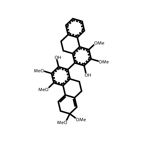 COc1c(O)c(-c2c(O)c(OC)c(OC)c3c2CCc2ccccc2-3)c2c(c1OC)C1=CCC(OC)(OC)C=C1CC2